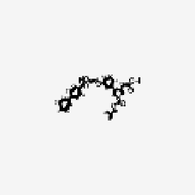 CC(C)COC(=O)N1C[C@H](CC(=O)O)[C@H](c2cccc(OCc3nc(-c4ccc(-c5ccccc5)cc4)no3)c2)C1